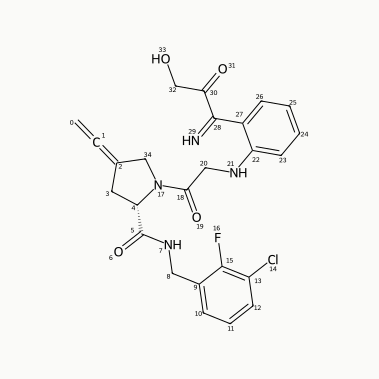 C=C=C1C[C@@H](C(=O)NCc2cccc(Cl)c2F)N(C(=O)CNc2ccccc2C(=N)C(=O)CO)C1